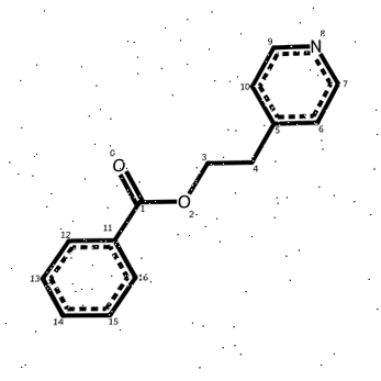 O=C(OCCc1ccncc1)c1ccccc1